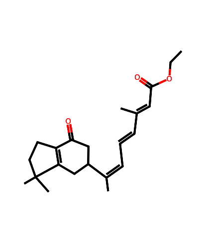 CCOC(=O)/C=C(C)/C=C/C=C(/C)C1CC(=O)C2=C(C1)C(C)(C)CC2